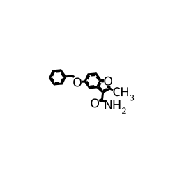 Cc1oc2ccc(OCc3ccccc3)cc2c1C(N)=O